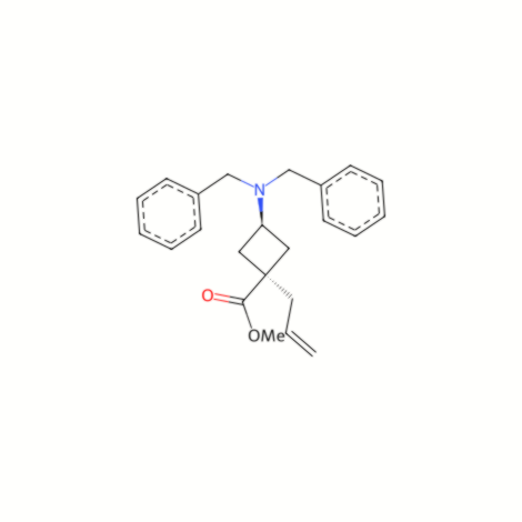 C=CC[C@]1(C(=O)OC)C[C@@H](N(Cc2ccccc2)Cc2ccccc2)C1